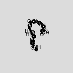 O=C1CCC(c2ccnc(N3CCC(CN4CCC(C(=O)N5CCN(CCN[S+]([O-])Nc6cccc(-c7cn8cc(C(=O)NC9CCC9)ccc8n7)c6)CC5)CC4)CC3)c2)C(=O)N1